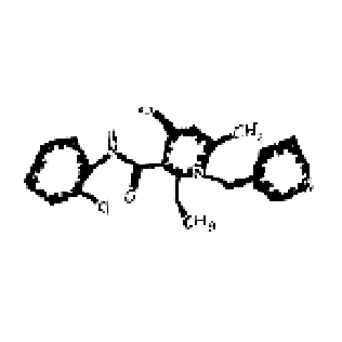 CCc1c(C(=O)Nc2ccccc2Cl)c(=O)cc(C)n1Cc1cccnc1